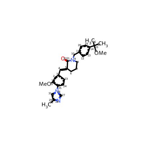 COc1cc(C=C2CCCN(Cc3ccc(C(C)(C)OC)cc3)C2=O)ccc1-n1cnc(C)c1